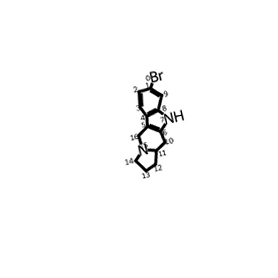 Brc1ccc2c3c([nH]c2c1)CC1CCCN1C3